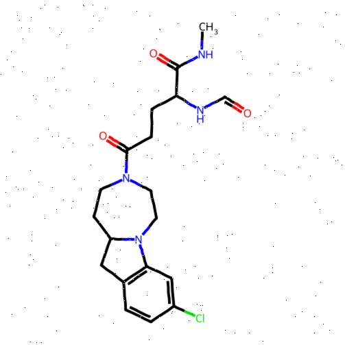 CNC(=O)C(CCC(=O)N1CCC2Cc3ccc(Cl)cc3N2CC1)NC=O